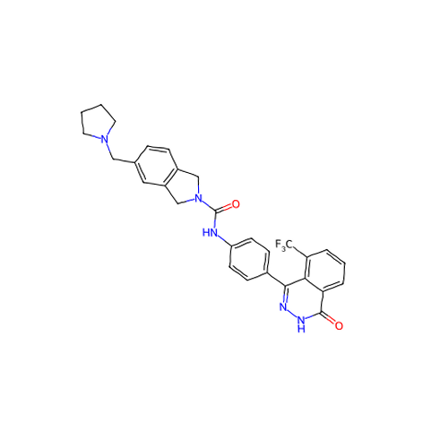 O=C(Nc1ccc(-c2n[nH]c(=O)c3cccc(C(F)(F)F)c23)cc1)N1Cc2ccc(CN3CCCC3)cc2C1